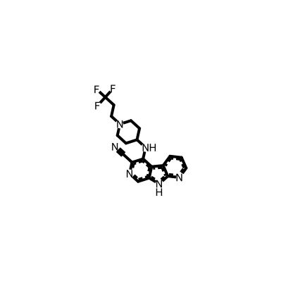 N#Cc1ncc2[nH]c3ncccc3c2c1NC1CCN(CCC(F)(F)F)CC1